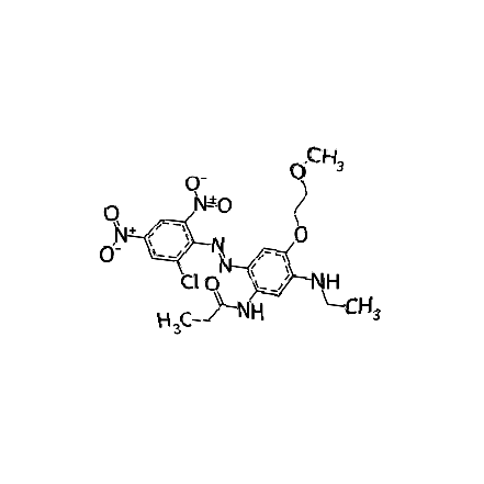 CCNc1cc(NC(=O)CC)c(N=Nc2c(Cl)cc([N+](=O)[O-])cc2[N+](=O)[O-])cc1OCCOC